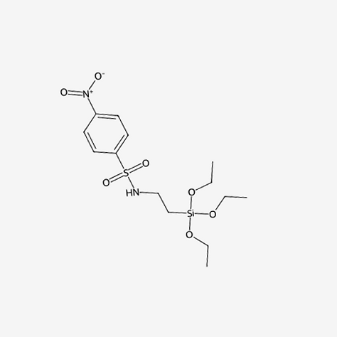 CCO[Si](CCNS(=O)(=O)c1ccc([N+](=O)[O-])cc1)(OCC)OCC